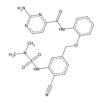 CN(C)S(=O)(=O)Nc1cc(COc2ccccc2NC(=O)c2ccnc(N)n2)ccc1C#N